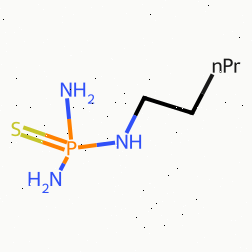 CCCCCNP(N)(N)=S